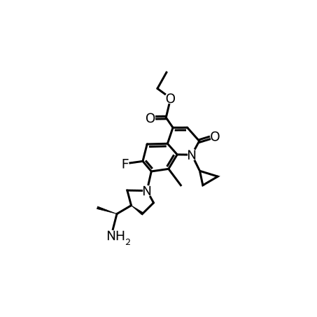 CCOC(=O)c1cc(=O)n(C2CC2)c2c(C)c(N3CC[C@@H]([C@H](C)N)C3)c(F)cc12